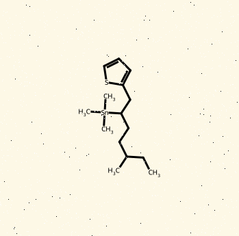 CCC(C)CC[CH](Cc1cccs1)[Sn]([CH3])([CH3])[CH3]